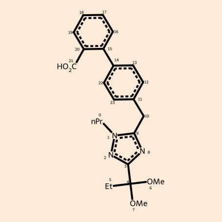 CCCn1nc(C(CC)(OC)OC)nc1Cc1ccc(-c2ccccc2C(=O)O)cc1